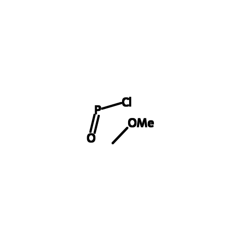 COC.O=PCl